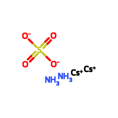 N.N.O=S(=O)([O-])[O-].[Cs+].[Cs+]